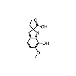 CCC1(C(=O)O)C=c2ccc(OC)c(O)c2=N1